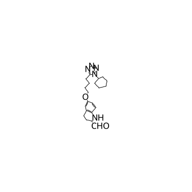 O=CC1CCc2cc(OCCCCc3nnnn3C3CCCCC3)ccc2N1